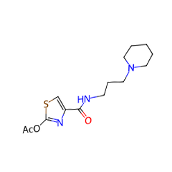 CC(=O)Oc1nc(C(=O)NCCCN2CCCCC2)cs1